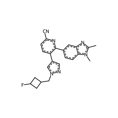 Cc1nc2cc(-c3nc(C#N)ccc3-c3cnn(CC4CC(F)C4)c3)ccc2n1C